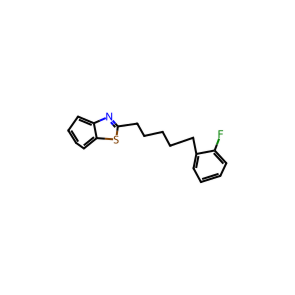 Fc1ccccc1CCCCCc1nc2ccccc2s1